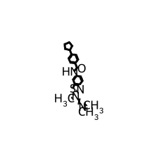 CN(C)CCN(C)c1nc2ccc(NC(=O)c3ccc(C4CCCC4)cc3)cc2s1